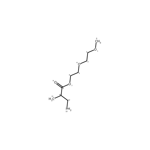 COCCOCCOC(=O)C(C)CP